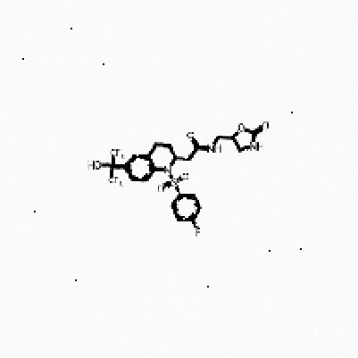 O=C(CC1CCc2cc(C(O)(C(F)(F)F)C(F)(F)F)ccc2N1S(=O)(=O)c1ccc(F)cc1)NCC1CNC(=O)O1